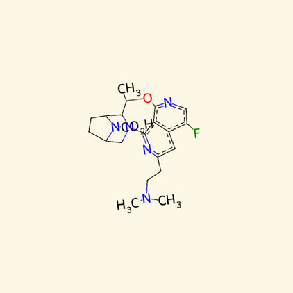 CC1Oc2ncc(F)c3cc(CCN(C)C)nc(c23)N2CC3CCC(C12)N3C(=O)O